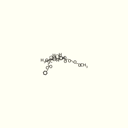 COCCOCCOCC(=O)O[C@H]1CC[C@@]2(C)[C@H](CC[C@@H]3[C@@H]2CC[C@]2(C)[C@@H]([C@H](C)CCC(=O)OCc4ccccc4)CC[C@@H]32)C1